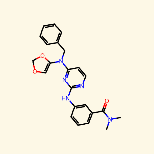 CN(C)C(=O)c1cccc(Nc2nccc(N(Cc3ccccc3)C3=COCO3)n2)c1